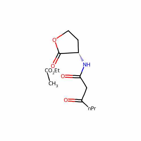 CCCC(=O)CC(=O)N[C@H]1CCOC1=O.CCOC(C)=O